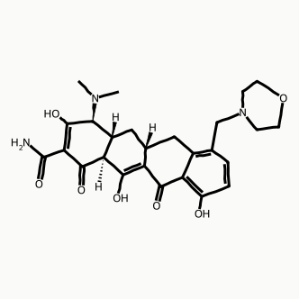 CN(C)[C@@H]1C(O)=C(C(N)=O)C(=O)[C@@H]2C(O)=C3C(=O)c4c(O)ccc(CN5CCOCC5)c4C[C@H]3C[C@H]21